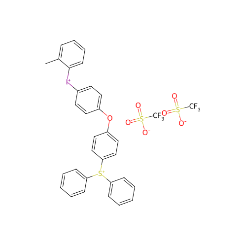 Cc1ccccc1[I+]c1ccc(Oc2ccc([S+](c3ccccc3)c3ccccc3)cc2)cc1.O=S(=O)([O-])C(F)(F)F.O=S(=O)([O-])C(F)(F)F